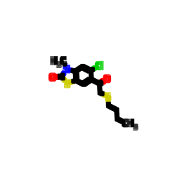 CCCCSCC(=O)c1cc2sc(=O)n(C)c2cc1Cl